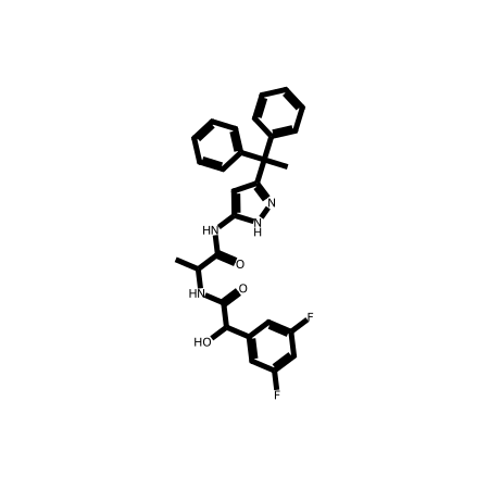 CC(NC(=O)C(O)c1cc(F)cc(F)c1)C(=O)Nc1cc(C(C)(c2ccccc2)c2ccccc2)n[nH]1